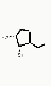 OC[C@@H]1S[CH][C@@H](O)[C@H]1O